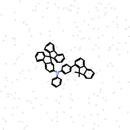 CC1(C)c2ccccc2-c2cccc(-c3ccc(N(c4ccccc4)c4ccc5c(c4)C4(c6ccccc6-c6ccccc64)c4ccccc4-5)cc3)c21